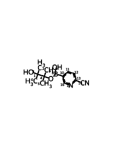 CC(C)(O)C(C)(C)OB(O)c1ccc(C#N)nc1